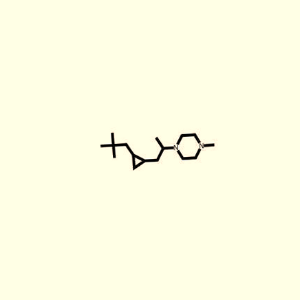 CC(CC1CC1CC(C)(C)C)N1CCN(C)CC1